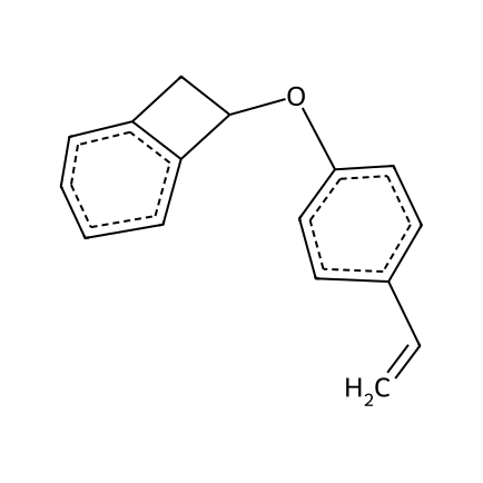 C=Cc1ccc(OC2Cc3ccccc32)cc1